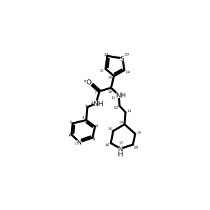 O=C(NCc1ccncc1)C(NCCC1CCNCC1)c1ccsc1